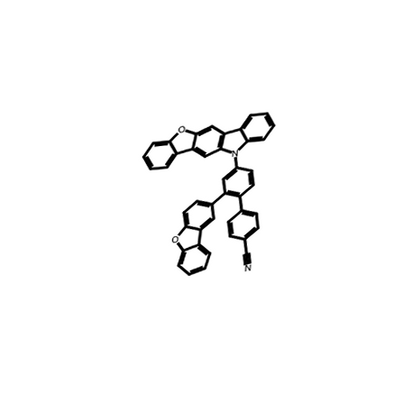 N#Cc1ccc(-c2ccc(-n3c4ccccc4c4cc5oc6ccccc6c5cc43)cc2-c2ccc3oc4ccccc4c3c2)cc1